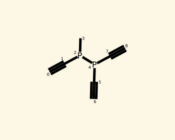 C#CP(C)P(C#C)C#C